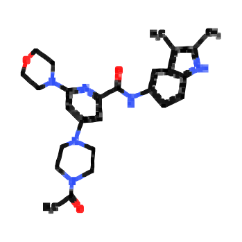 CC(=O)N1CCN(c2cc(C(=O)Nc3ccc4[nH]c(C)c(C)c4c3)nc(N3CCOCC3)c2)CC1